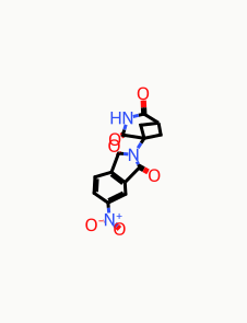 O=C1NC(=O)C2(N3C(=O)c4ccc([N+](=O)[O-])cc4C3=O)CC1C2